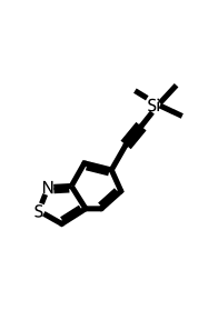 C[Si](C)(C)C#Cc1ccc2csnc2c1